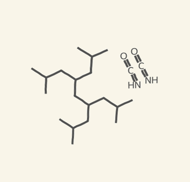 CC(C)CC(CC(C)C)CC(CC(C)C)CC(C)C.N=C=O.N=C=O